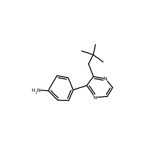 CC(C)(C)Cc1nccnc1-c1ccc(N)cc1